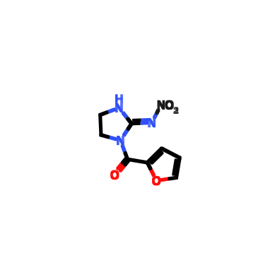 O=C(c1ccco1)N1CCN/C1=N\[N+](=O)[O-]